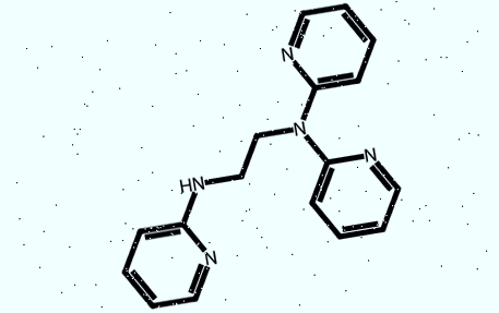 c1ccc(NCCN(c2ccccn2)c2ccccn2)nc1